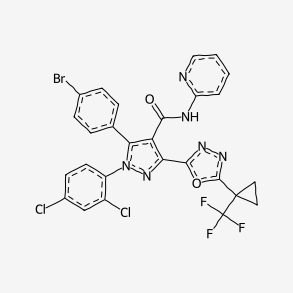 O=C(Nc1ccccn1)c1c(-c2nnc(C3(C(F)(F)F)CC3)o2)nn(-c2ccc(Cl)cc2Cl)c1-c1ccc(Br)cc1